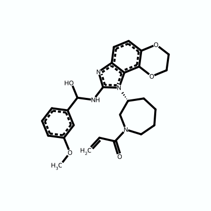 C=CC(=O)N1CCCC[C@@H](n2c(NC(O)c3cccc(OC)c3)nc3ccc4c(c32)OCCO4)C1